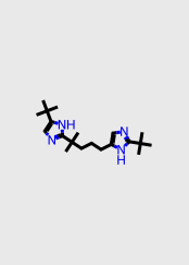 CC(C)(C)c1cnc(C(C)(C)CCCc2cnc(C(C)(C)C)[nH]2)[nH]1